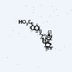 CN(CCCOc1ccc2c(c1)CC[C@H]2CC(=O)O)c1nc(Cl)ncc1-c1ccc(F)c(F)c1